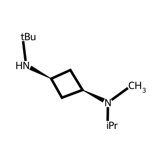 CC(C)N(C)[C@H]1C[C@@H](NC(C)(C)C)C1